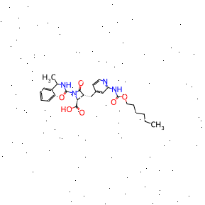 CCCCCCOC(=O)Nc1cc(C[C@H]2C(=O)N(C(=O)NC(C)c3ccccc3)[C@@H]2C(=O)O)ccn1